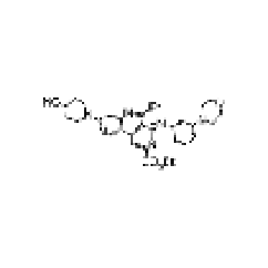 CCOC(=O)c1cc(-c2ccc(N3CCC(C#N)CC3)nc2)c(C(=N)C(C)C)c(Nc2cccc(N3CCOCC3)c2)n1